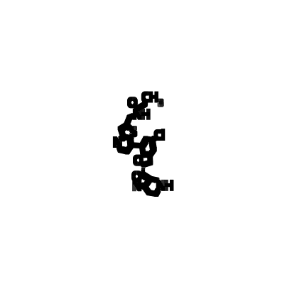 CCC(=O)NCc1cc2nccc(-c3cc(Cl)cc4c3O[C@@H](c3onc5c3CNCC5)C4)c2s1